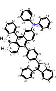 C=Cc1c(/C=C\C)c(-c2ccc(-c3sc4ccccc4c3-c3ccccc3)cc2)c2ccc(N(c3c#cccc3)c3ccccc3)cc2c1-c1ccccc1